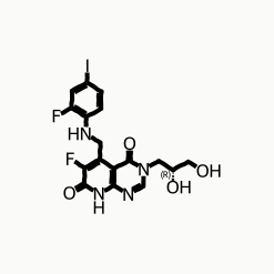 O=c1[nH]c2ncn(C[C@@H](O)CO)c(=O)c2c(CNc2ccc(I)cc2F)c1F